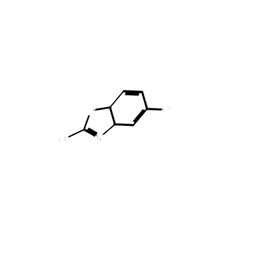 CCC1=NC2C=C(Cl)C=CC2O1